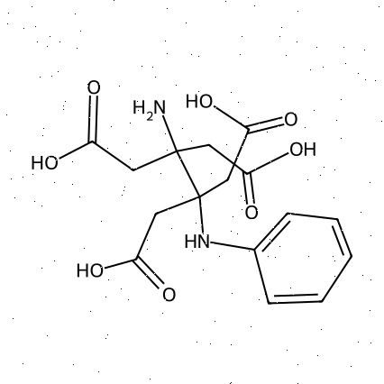 NC(CC(=O)O)(CC(=O)O)C(CC(=O)O)(CC(=O)O)Nc1ccccc1